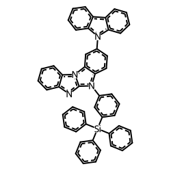 c1ccc([Si](c2ccccc2)(c2ccccc2)c2cccc(-n3c4ccc(-n5c6ccccc6c6ccccc65)cc4n4c5ccccc5nc34)c2)cc1